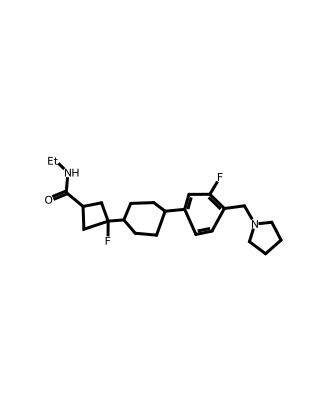 CCNC(=O)C1CC(F)(C2CCC(c3ccc(CN4CCCC4)c(F)c3)CC2)C1